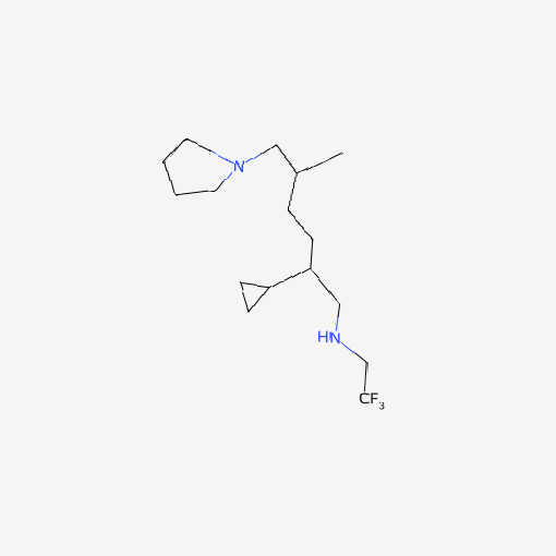 CC(CCC(CNCC(F)(F)F)C1CC1)CN1CCCC1